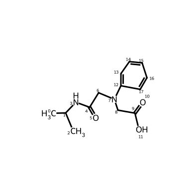 CC(C)NC(=O)CN(CC(=O)O)c1ccccc1